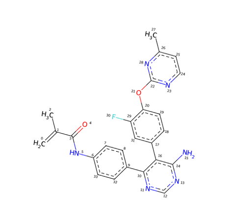 C=C(C)C(=O)Nc1ccc(-c2ncnc(N)c2-c2ccc(Oc3nccc(C)n3)c(F)c2)cc1